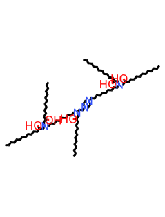 CCCCCCCCCCCCC(O)CN(CCCCCCCCCCN(CC(O)CCCCCCCCCCCC)CC(O)CCCCCCCCCCCC)CCN1CCN(CCCCCCCCCCN(CC(O)CCCCCCCCCCCC)CC(O)CCCCCCCCCCCC)CC1